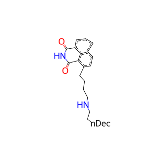 CCCCCCCCCCCCNCCCCc1ccc2cccc3c2c1C(=O)NC3=O